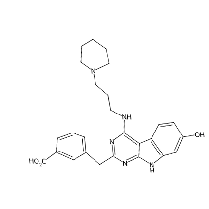 O=C(O)c1cccc(Cc2nc(NCCCN3CCCCC3)c3c(n2)[nH]c2cc(O)ccc23)c1